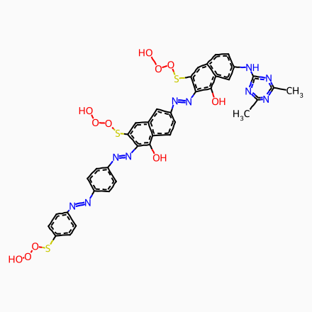 Cc1nc(C)nc(Nc2ccc3cc(SOOO)c(N=Nc4ccc5c(O)c(N=Nc6ccc(N=Nc7ccc(SOOO)cc7)cc6)c(SOOO)cc5c4)c(O)c3c2)n1